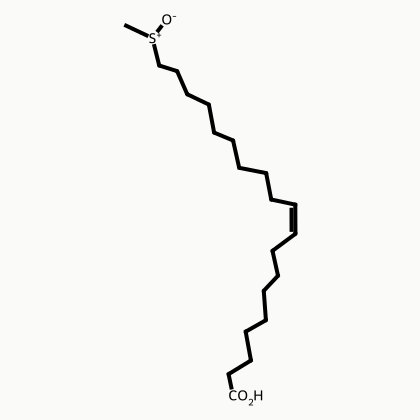 C[S+]([O-])CCCCCCCCC/C=C\CCCCCCCC(=O)O